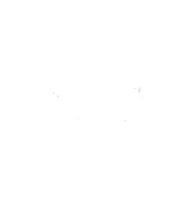 Nc1ccc2c(c1)CC[C@H]2N